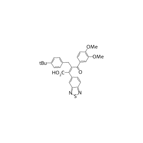 COc1ccc(C(=O)/C(Cc2ccc(C(C)(C)C)cc2)=C(/C(=O)O)c2ccc3nsnc3c2)cc1OC